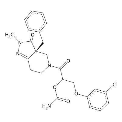 CN1N=C2CCN(C(=O)C(COc3cccc(Cl)c3)OC(N)=O)C[C@@]2(Cc2ccccc2)C1=O